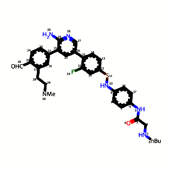 CCCCNCC(=O)Nc1ccc(NSc2ccc(-c3cnc(N)c(-c4ccc(C=O)c(CCNC)c4)c3)c(F)c2)cc1